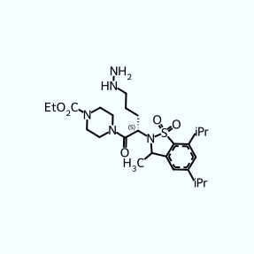 CCOC(=O)N1CCN(C(=O)[C@H](CCCNN)N2C(C)c3cc(C(C)C)cc(C(C)C)c3S2(=O)=O)CC1